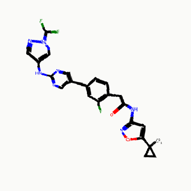 O=C(Cc1ccc(-c2cnc(Nc3cnn(C(F)F)c3)nc2)cc1F)Nc1cc(C2(C(F)(F)F)CC2)on1